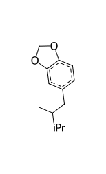 [CH2]C(C)C(C)Cc1ccc2c(c1)OCO2